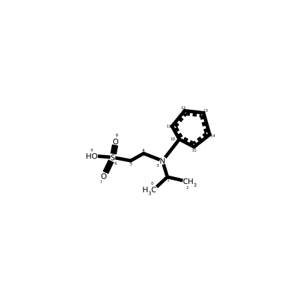 CC(C)N(CCS(=O)(=O)O)c1ccccc1